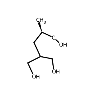 C[C@@H](CO)CC(CO)CO